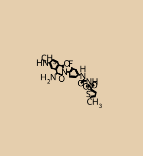 CNc1ccc2c(c1)C(N)C(=O)N(c1ccc(NC(=O)NS(=O)(=O)c3ccc(C)s3)cc1F)C2=O